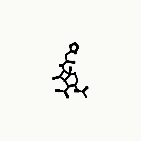 CC(=O)NC1=C(C(=O)O)N2C(=O)C(NC(=O)Cc3cccs3)[C@@H]2SC1